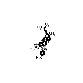 CC(=O)O[C@H]1CC[C@]2(C)[C@H]3CC[C@]4(C)[C@@H]([C@H](C)CCCC(C)C)CC[C@H]4[C@@H]3C[C@H]3N(S(=O)(=O)c4ccc(C)cc4)[C@]32C1